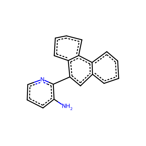 Nc1cccnc1-c1cc2ccccc2c2ccccc12